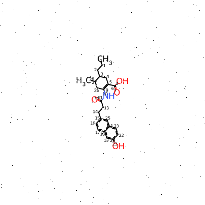 CCCC1CC(C(=O)O)=C(NC(=O)CCc2ccc3cc(O)ccc3c2)CC1C